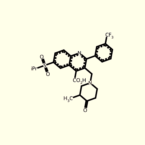 CC1CN(Cc2c(-c3cccc(C(F)(F)F)c3)nc3ccc(S(=O)(=O)C(C)C)cc3c2C(=O)O)CCC1=O